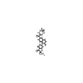 CN1Cc2cc(-c3c(F)ccc4cc(C(=O)N5CCC(F)(F)CC5)ccc34)cnc2C1=O